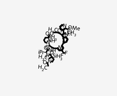 C=CC(=O)N1CC[C@]([SiH3])(C(=O)N(C)[C@H](C(=O)N[C@H]2Cc3cc(C(F)F)cc(n3)-c3ccc4c(c3)c(c(-c3cccnc3[C@H](C)OC)n4CC)CC(C)(C)COC(=O)[C@@]3([SiH3])CCCN(N3)C2=O)C(C)C)C1